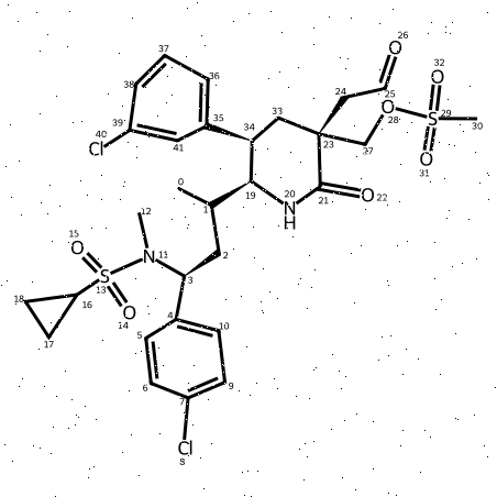 CC(C[C@@H](c1ccc(Cl)cc1)N(C)S(=O)(=O)C1CC1)[C@@H]1NC(=O)[C@@](CC=O)(COS(C)(=O)=O)C[C@@H]1c1cccc(Cl)c1